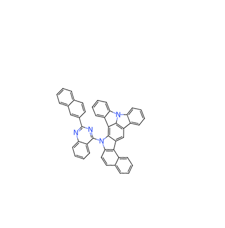 c1ccc2cc(-c3nc(-n4c5ccc6ccccc6c5c5cc6c7ccccc7n7c8ccccc8c(c54)c67)c4ccccc4n3)ccc2c1